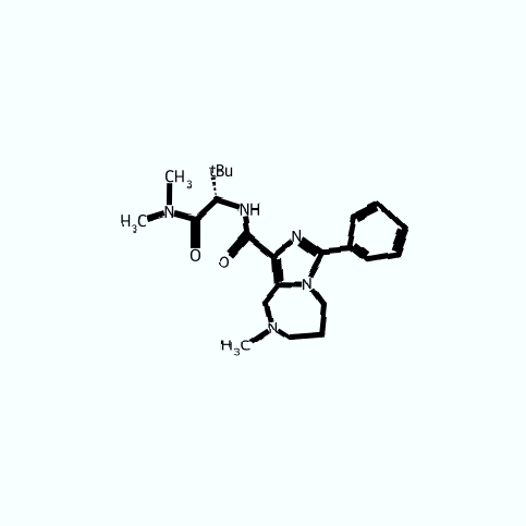 CN1CCCn2c(-c3ccccc3)nc(C(=O)N[C@H](C(=O)N(C)C)C(C)(C)C)c2C1